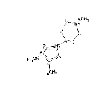 Cc1cn(C2CCN(C)CC2)nc1N